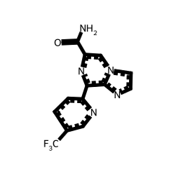 NC(=O)c1cn2ccnc2c(-c2ccc(C(F)(F)F)cn2)n1